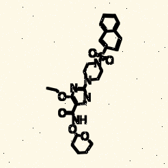 CCOc1nc(N2CCN(S(=O)(=O)c3ccc4ccccc4c3)CC2)ncc1C(=O)NOC1CCCCO1